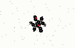 Cc1ccc(N(c2ccc([Si](C)(C)C)cc2)c2cc(-c3ccc4ccccc4c3)c3ccc4c(N(c5ccc(C)cc5)c5ccc([Si](C)(C)C)cc5)cc(-c5ccc6ccccc6c5)c5ccc2c3c54)cc1